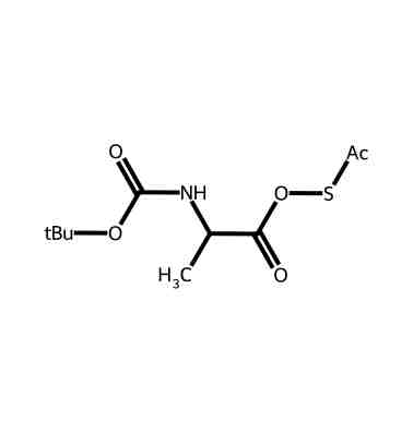 CC(=O)SOC(=O)C(C)NC(=O)OC(C)(C)C